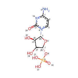 Nc1ccn([C@@H]2O[C@H](OP(=O)(O)O)C(O)[C@H]2O)c(=O)n1